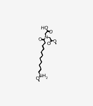 CO[SiH2]CCCCCCCCCCC(=O)N(CC(=O)O)CC(=O)OC